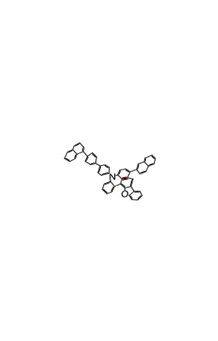 c1ccc(N(c2ccc(-c3ccc(-c4cccc5ccccc45)cc3)cc2)c2ccc(-c3ccc4ccccc4c3)cc2)c(-c2cccc3c2oc2ccccc23)c1